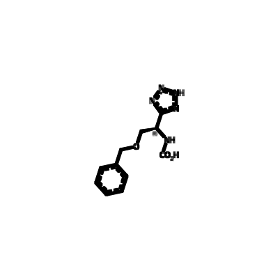 O=C(O)N[C@@H](COCc1ccccc1)c1nn[nH]n1